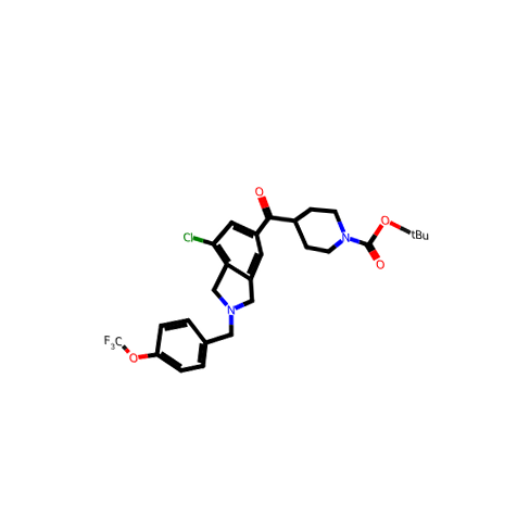 CC(C)(C)OC(=O)N1CCC(C(=O)c2cc(Cl)c3c(c2)CN(Cc2ccc(OC(F)(F)F)cc2)C3)CC1